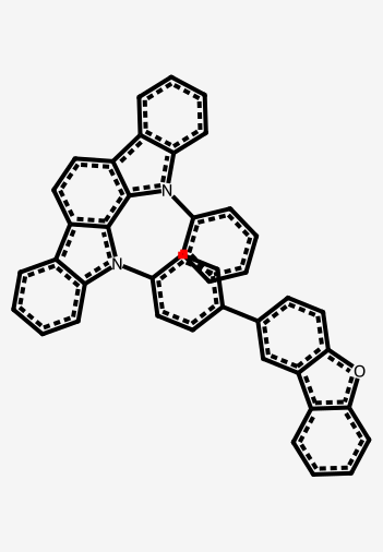 c1ccc(-n2c3ccccc3c3ccc4c5ccccc5n(-c5ccc(-c6ccc7oc8ccccc8c7c6)cc5)c4c32)cc1